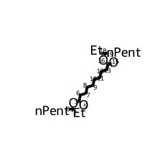 CCCCCC(CC)OC(=O)CCCCCCCCC(=O)OC(CC)CCCCC